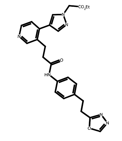 CCOC(=O)Cn1cc(-c2ccncc2CCC(=O)Nc2ccc(CCc3nnco3)cc2)cn1